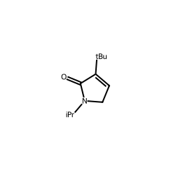 CC(C)N1CC=C(C(C)(C)C)C1=O